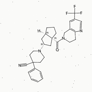 N#CC1(c2ccccc2)CCN([C@@H]2C[C@H]3CCC[C@@]3(C(=O)N3CCc4ncc(C(F)(F)F)cc4C3)C2)CC1